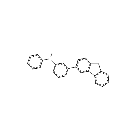 CN(c1ccccc1)c1cccc(-c2ccc3c(c2)-c2ccccc2C3)c1